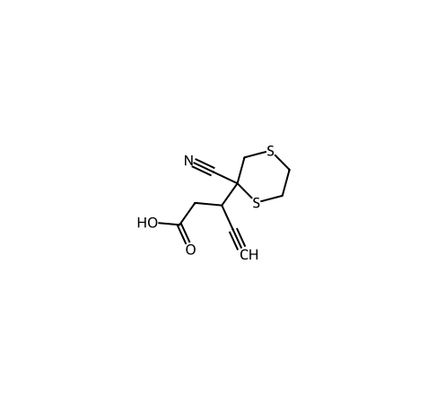 C#CC(CC(=O)O)C1(C#N)CSCCS1